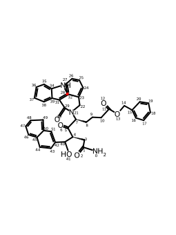 NC(=O)C[C@H](C(=O)[C@H](CCCC(=O)OCc1ccccc1)N(Cc1ccccc1)C(=O)c1c[nH]c2ccccc12)C(O)c1ccc2ccccc2c1